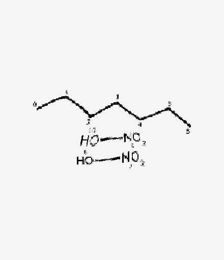 CCCCCCC.O=[N+]([O-])O.O=[N+]([O-])O